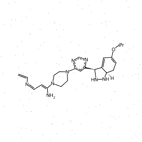 C=C/N=C\C=C(/N)N1CCN(c2cc([C@@H]3NN[C@@H]4CC=C(OC(C)C)C=C34)ncn2)CC1